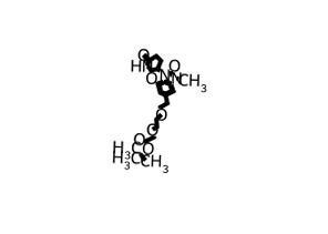 Cn1c(=O)n(C2CCC(=O)NC2=O)c2ccc(CCOCCOCC(=O)OC(C)(C)C)cc21